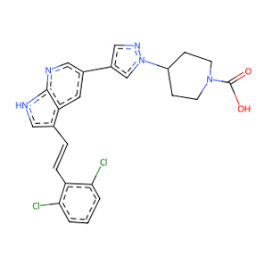 O=C(O)N1CCC(n2cc(-c3cnc4[nH]cc(C=Cc5c(Cl)cccc5Cl)c4c3)cn2)CC1